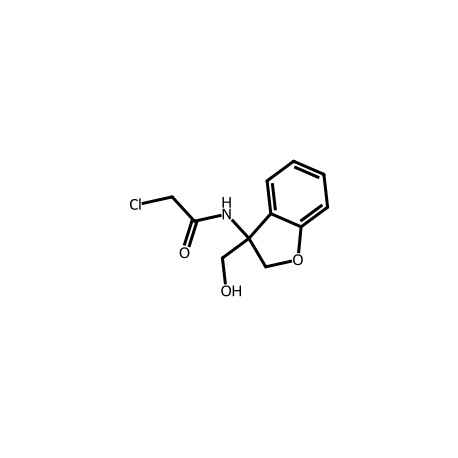 O=C(CCl)NC1(CO)COc2ccccc21